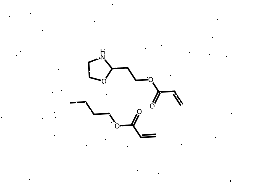 C=CC(=O)OCCC1NCCO1.C=CC(=O)OCCCC